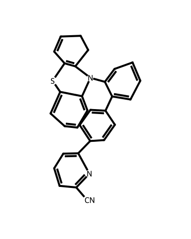 N#Cc1cccc(-c2ccc(-c3ccccc3N3C4=C(C=CCC4)Sc4ccccc43)cc2)n1